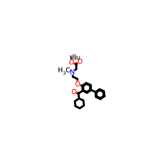 CN(CCOc1ccc(-c2ccccc2)cc1C(=O)C1CCCCC1)CC(=O)OC(C)(C)C